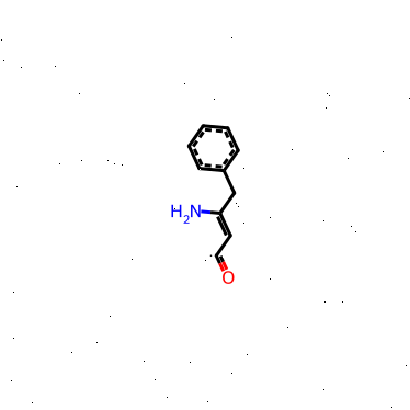 N/C(=C\[C]=O)Cc1ccccc1